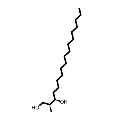 CCCCCCCCCCCCCCC[C@@H](O)[C@@H](C)CO